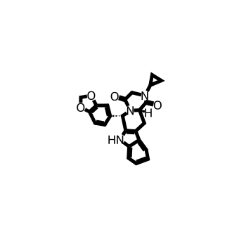 O=C1[C@@H]2Cc3c([nH]c4ccccc34)[C@H](c3ccc4c(c3)OCO4)N2C(=O)CN1C1CC1